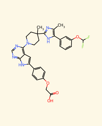 Cc1nc(C2(C)CCN(c3ncnc4[nH]c(-c5ccc(OCC(=O)O)cc5)cc34)CC2)[nH]c1-c1cccc(OC(F)F)c1